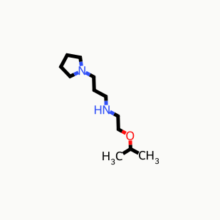 CC(C)OCCNCCCN1CCCC1